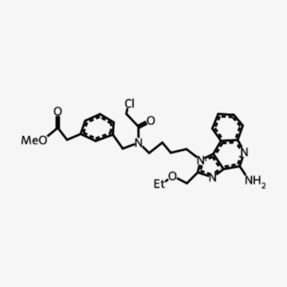 CCOCc1nc2c(N)nc3ccccc3c2n1CCCCN(Cc1cccc(CC(=O)OC)c1)C(=O)CCl